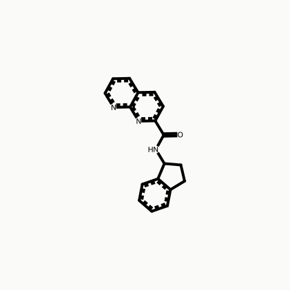 O=C(NC1CCc2ccccc21)c1ccc2cccnc2n1